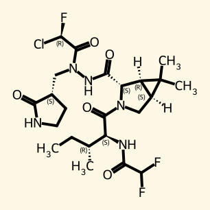 CC[C@@H](C)[C@H](NC(=O)C(F)F)C(=O)N1C[C@H]2[C@@H]([C@H]1C(=O)NN(C[C@@H]1CCNC1=O)C(=O)[C@H](F)Cl)C2(C)C